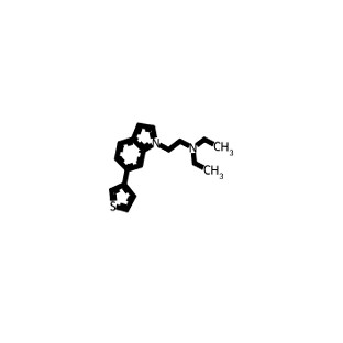 CCN(CC)CCn1ccc2ccc(-c3ccsc3)cc21